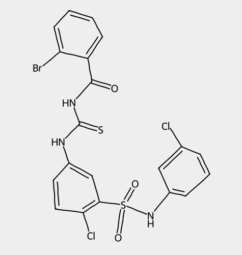 O=C(NC(=S)Nc1ccc(Cl)c(S(=O)(=O)Nc2cccc(Cl)c2)c1)c1ccccc1Br